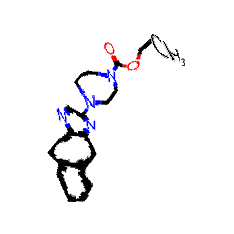 CCOC(=O)N1CCN(c2cnc3cc4ccccc4cc3n2)CC1